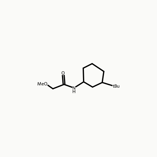 COCC(=O)NC1CCCC(C(C)(C)C)C1